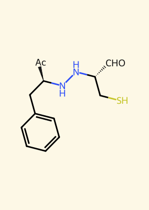 CC(=O)[C@H](Cc1ccccc1)NN[C@H](C=O)CS